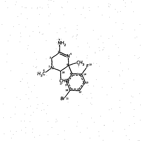 CN1CC(N)=NC(C)(c2cc(Br)ccc2F)C1C=O